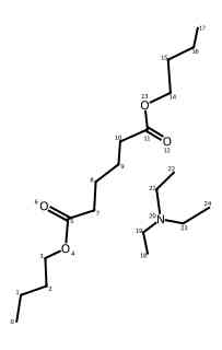 CCCCOC(=O)CCCCC(=O)OCCCC.CCN(CC)CC